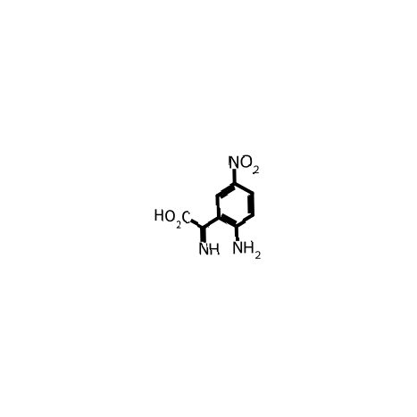 N=C(C(=O)O)c1cc([N+](=O)[O-])ccc1N